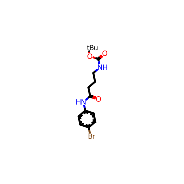 CC(C)(C)OC(=O)NCCCC(=O)Nc1ccc(Br)cc1